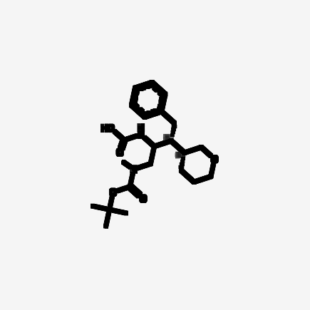 CN(CC(NC(=O)O)[C@H](Cc1ccccc1)[C@H]1CCCOC1)C(=O)OC(C)(C)C